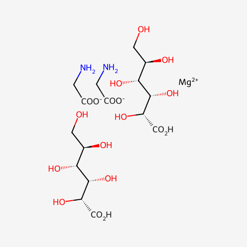 NCC(=O)[O-].NCC(=O)[O-].O=C(O)[C@H](O)[C@@H](O)[C@H](O)[C@H](O)CO.O=C(O)[C@H](O)[C@@H](O)[C@H](O)[C@H](O)CO.[Mg+2]